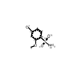 COc1cc(Cl)ccc1S(N)(=O)=O